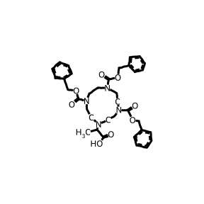 CC(C(=O)O)N1CCN(C(=O)OCc2ccccc2)CCN(C(=O)OCc2ccccc2)CCN(C(=O)OCc2ccccc2)CC1